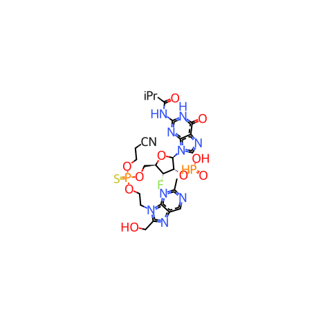 Cc1ncc2nc(CO)n(CCOP(=S)(OCCC#N)OC[C@H]3O[C@@H](n4cnc5c(=O)[nH]c(NC(=O)C(C)C)nc54)[C@H](O[PH](=O)O)[C@@H]3F)c2n1